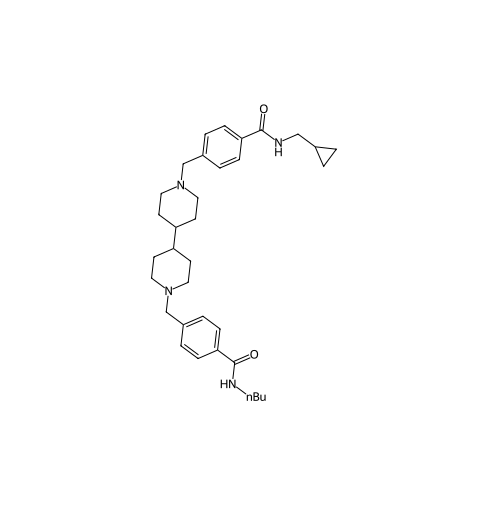 CCCCNC(=O)c1ccc(CN2CCC(C3CCN(Cc4ccc(C(=O)NCC5CC5)cc4)CC3)CC2)cc1